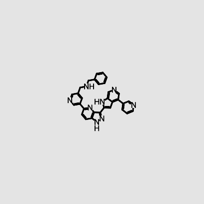 c1ccc(CNCc2cncc(-c3ccc4[nH]nc(-c5cc6c(-c7cccnc7)cncc6[nH]5)c4n3)c2)cc1